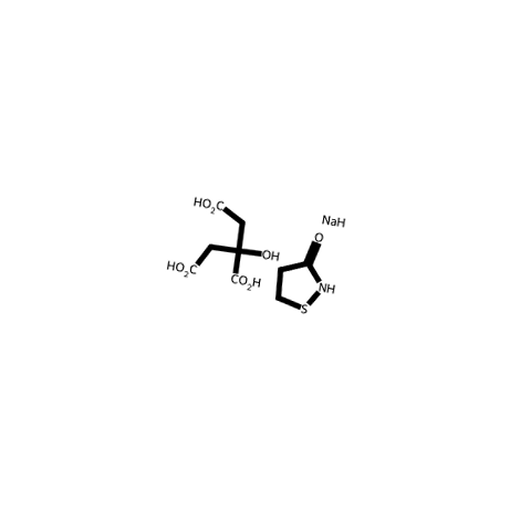 O=C(O)CC(O)(CC(=O)O)C(=O)O.O=C1CCSN1.[NaH]